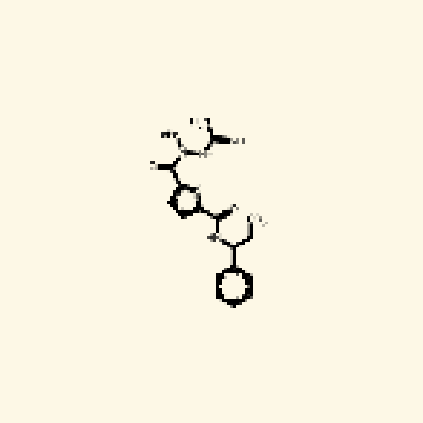 CCCN(NC(=N)N)C(=O)c1ccc(C(=O)NC(CC(=O)O)c2ccccc2)s1